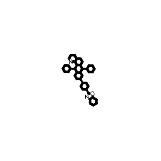 c1ccc(-c2c3cc(-c4ccc(-c5nc6ccccc6o5)cc4)ccc3c(-c3ccccc3)c3c2ccc2cccnc23)cc1